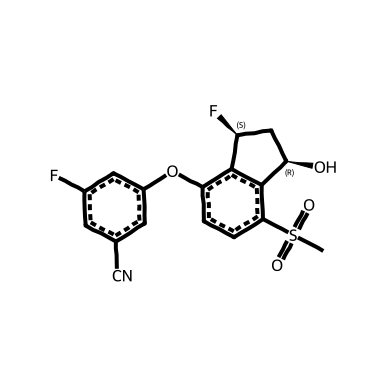 CS(=O)(=O)c1ccc(Oc2cc(F)cc(C#N)c2)c2c1[C@H](O)C[C@@H]2F